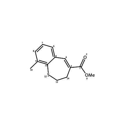 COC(=O)C1=Cc2cccc(C)c2SCC1